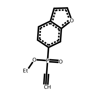 C#CP(=O)(OCC)c1ccc2ccoc2c1